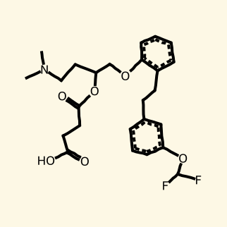 CN(C)CCC(COc1ccccc1CCc1cccc(OC(F)F)c1)OC(=O)CCC(=O)O